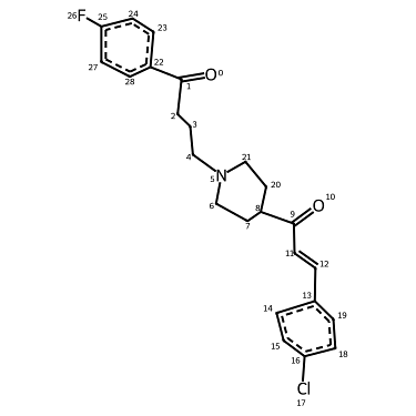 O=C(CCCN1CCC(C(=O)/C=C/c2ccc(Cl)cc2)CC1)c1ccc(F)cc1